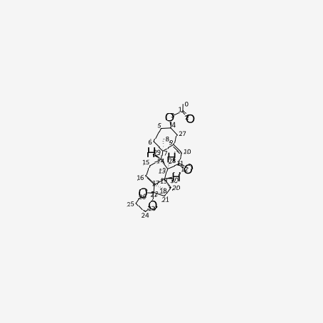 CC(=O)O[C@@H]1CC[C@@]2(C)C(=CC(=O)[C@@H]3[C@@H]2CC[C@@]2(C)[C@H]3CCC23OCCO3)C1